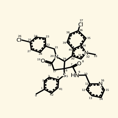 Cc1ccc(SC2(C(=O)NCc3ccccn3)CC(=O)N(Cc3ccc(Cl)cc3)C2c2cn(C)c3cc(Cl)ccc23)cc1